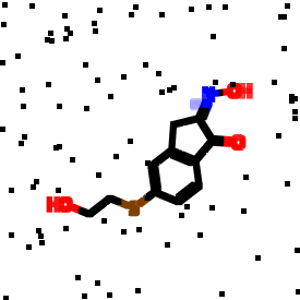 O=C1/C(=N\O)Cc2cc(SCCO)ccc21